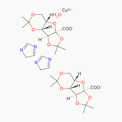 C1=NC=NC1.C1=NC=NC1.CC1(C)OC[C@@H]2O[C@@]3(C(=O)[O-])OC(C)(C)O[C@H]3[C@@H]2O1.CC1(C)OC[C@@H]2O[C@@]3(C(=O)[O-])OC(C)(C)O[C@H]3[C@@H]2O1.O.[Cu+2]